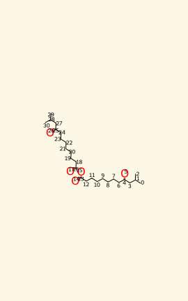 CC(C)CC(=O)CCCCCCCC(=O)OC(=O)CCCCCCCC(=O)CC(C)C